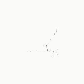 [C-]#[N+]c1c(C)sc(-c2cc(CCCCCCCCCCCC)c(-c3sc(C)cc3CCCCCCCCCCCC)s2)c1C#N